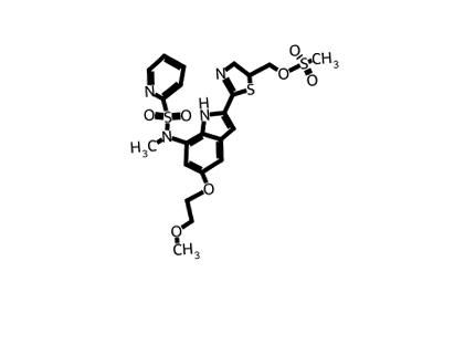 COCCOc1cc(N(C)S(=O)(=O)c2ccccn2)c2[nH]c(C3=NCC(COS(C)(=O)=O)S3)cc2c1